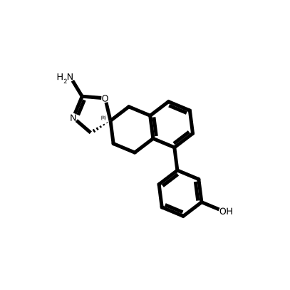 NC1=NC[C@]2(CCc3c(cccc3-c3cccc(O)c3)C2)O1